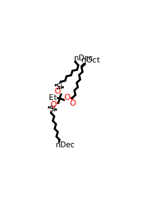 CCCCCCCCC=CCCCCCCCC(=O)OCC(CC)(CO[Si](C)(C)CCCCCCCCCCCCCCCCCC)CO[Si](C)(C)CCCCCCCCCCCCCCCCCC